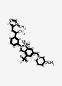 C/C(=C\c1nncn1C)c1cccc(N2Cc3c(C(F)(F)F)cc(CN4CCC[C@H](C)C4)cc3S2(=O)=O)c1